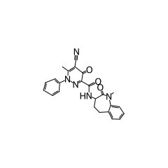 Cc1c(C#N)c(=O)c(C(=O)NC2CCc3ccccc3N(C)C2=O)nn1-c1ccccc1